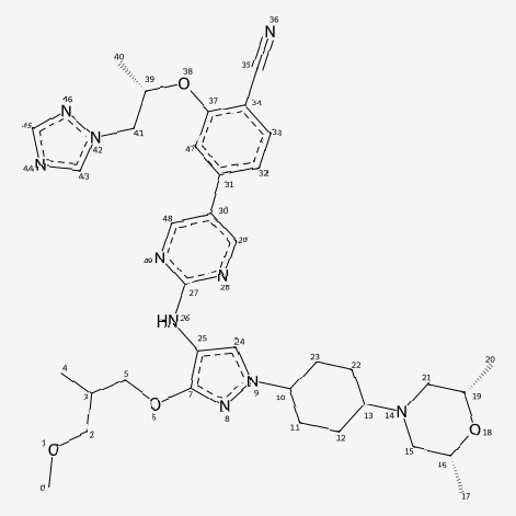 COCC(C)COc1nn(C2CCC(N3C[C@@H](C)O[C@@H](C)C3)CC2)cc1Nc1ncc(-c2ccc(C#N)c(O[C@@H](C)Cn3cncn3)c2)cn1